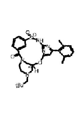 Cc1cccc(C)c1-c1cc2nc(n1)NS(=O)(=O)c1cccc(c1)C(=O)N1CCN(CC(C)(C)C)C[C@H](C1)O2